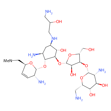 CNC[C@@H]1C=C[C@@H](N)[C@@H](O[C@H]2[C@H](O[C@@H]3O[C@H](CO)[C@@H](O[C@H]4O[C@@H](CN)[C@@H](O)[C@H](O)[C@H]4N)[C@H]3O)[C@@H](O)[C@H](NCC(O)CN)C[C@@H]2N)O1